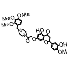 COc1ccc(C2CC(=O)c3c(O)cc(OCC(=O)N4CCN(Cc5ccc(OC)c(OC)c5OC)CC4)cc3O2)cc1O